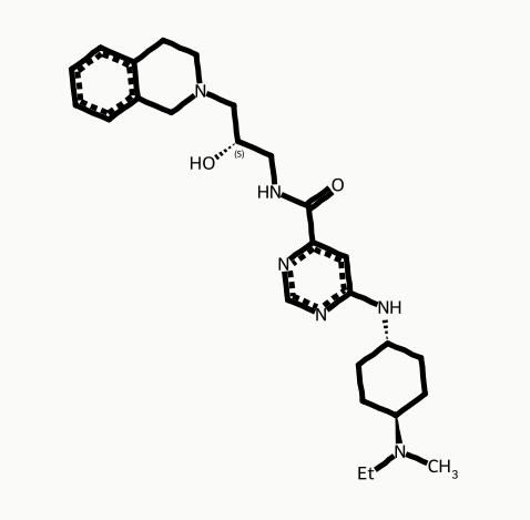 CCN(C)[C@H]1CC[C@H](Nc2cc(C(=O)NC[C@H](O)CN3CCc4ccccc4C3)ncn2)CC1